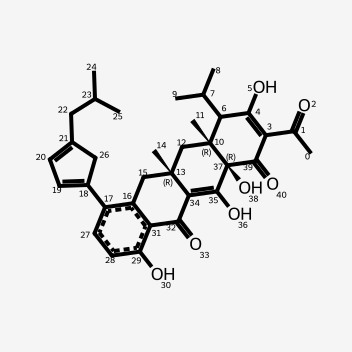 CC(=O)C1=C(O)C(C(C)C)[C@@]2(C)C[C@@]3(C)Cc4c(C5=CC=C(CC(C)C)C5)ccc(O)c4C(=O)C3=C(O)[C@@]2(O)C1=O